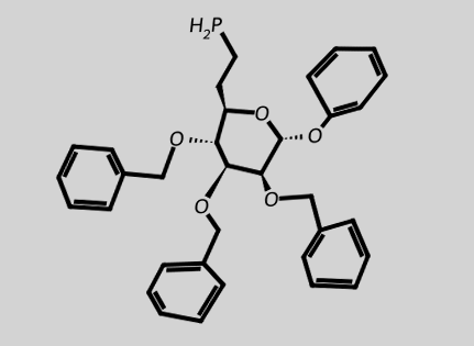 PCC[C@H]1O[C@H](Oc2ccccc2)[C@@H](OCc2ccccc2)[C@@H](OCc2ccccc2)[C@@H]1OCc1ccccc1